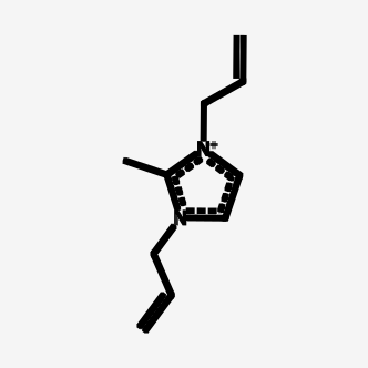 C=CCn1cc[n+](CC=C)c1C